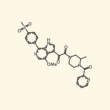 COc1cnc(-c2ccc(S(C)(=O)=O)cc2)c2[nH]cc(C(=O)C(=O)N3CCN(C(=O)c4ccccn4)C(C)C3)c12